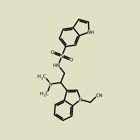 CN(C)C(CNS(=O)(=O)c1ccc2cc[nH]c2c1)c1cn(CC#N)c2ccccc12